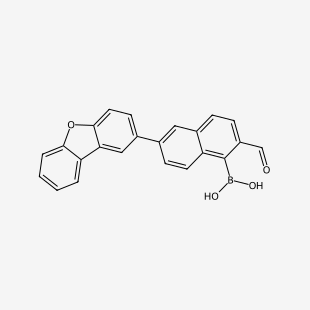 O=Cc1ccc2cc(-c3ccc4oc5ccccc5c4c3)ccc2c1B(O)O